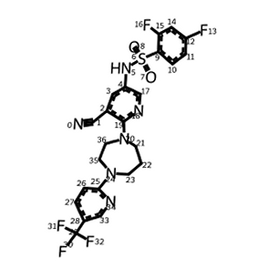 N#Cc1cc(NS(=O)(=O)c2ccc(F)cc2F)cnc1N1CCCN(c2ccc(C(F)(F)F)cn2)CC1